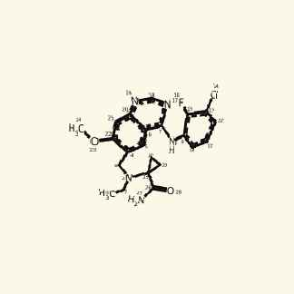 CCN(Cc1cc2c(Nc3cccc(Cl)c3F)ncnc2cc1OC)C1(C(N)=O)CC1